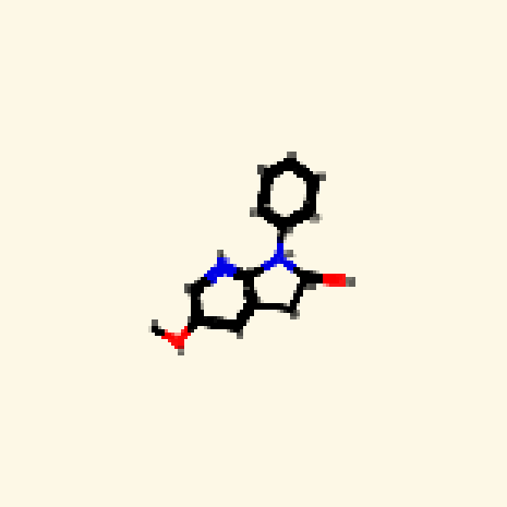 COc1cnc2c(c1)CC(=O)N2c1ccccc1